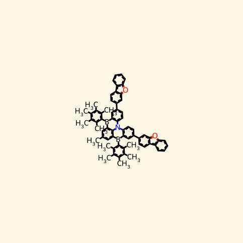 Cc1cc2c3c(c1)B(c1c(C)c(C)c(C)c(C)c1C)c1cc(-c4ccc5c(c4)oc4ccccc45)ccc1N3c1ccc(-c3ccc4c(c3)oc3ccccc34)cc1B2c1c(C)c(C)c(C)c(C)c1C